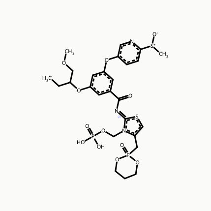 CCC(COC)Oc1cc(Oc2ccc([S+](C)[O-])nc2)cc(C(=O)/N=c2\scc(CP3(=O)OCCCO3)n2COP(=O)(O)O)c1